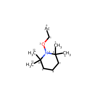 CC(=O)CON1C(C)(C)CCCC1(C)C